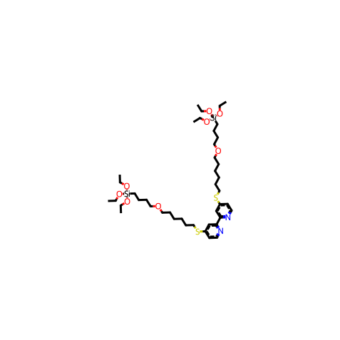 CCO[Si](CCCCOCCCCCCSc1ccnc(-c2cc(SCCCCCCOCCCC[Si](OCC)(OCC)OCC)ccn2)c1)(OCC)OCC